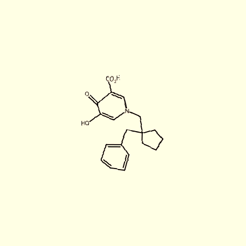 O=C(O)c1cn(CC2(Cc3ccccc3)CCCC2)cc(O)c1=O